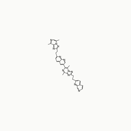 Cc1ncc(C)n2nc(CCc3ccc4cc(-c5nc(C)c6nc(CCc7ccc8ccncc8n7)nn6c5C)cnc4n3)nc12